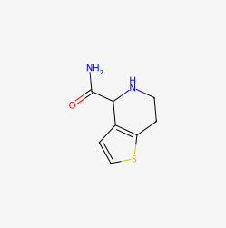 NC(=O)C1NCCc2sccc21